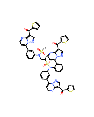 CCCCS(=O)(=O)N(CC(C)S(=O)(=O)N(c1cccc(-c2ccnc3c(C(=O)c4cccs4)cnn23)c1)c1cc[c]cc1-c1ccnc2c(C(=O)c3cccs3)cnn12)c1cccc(-c2ccnc3c(C(=O)c4cccs4)cnn23)c1